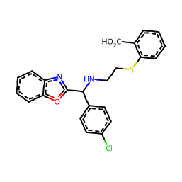 O=C(O)c1ccccc1SCCNC(c1ccc(Cl)cc1)c1nc2ccccc2o1